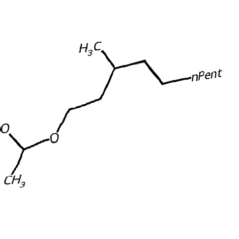 CCCCCCCC(C)CCOC(C)O